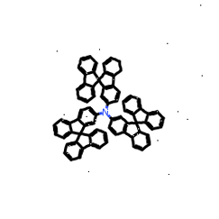 C1=CC2c3ccc(N(c4ccc5c(c4)C4(C6=C5CCC=C6)c5ccccc5-c5ccccc54)c4ccc5c(c4)C4(c6ccccc6-c6ccccc64)c4ccccc4-5)cc3C3(c4ccccc4-c4ccccc43)C2C=C1